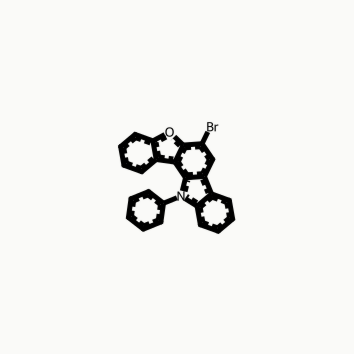 Brc1cc2c3ccccc3n(-c3ccccc3)c2c2c1oc1ccccc12